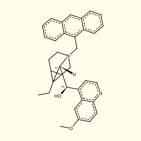 CCC12C3CC[N+](Cc4c5ccccc5cc5ccccc45)(CC31)[C@@H]2[C@H](O)c1ccnc2ccc(OC)cc12